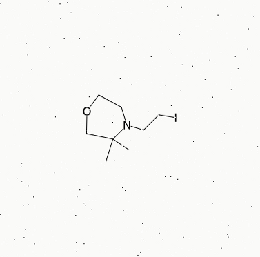 CC1(C)COCCN1CCI